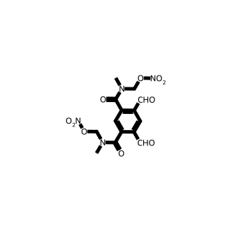 CN(CO[N+](=O)[O-])C(=O)c1cc(C(=O)N(C)CO[N+](=O)[O-])c(C=O)cc1C=O